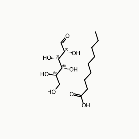 CCCCCCCCC(=O)O.O=C[C@H](O)[C@@H](O)[C@H](O)[C@H](O)CO